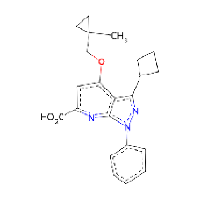 CC1(COc2cc(C(=O)O)nc3c2c(C2CCC2)nn3-c2ccccc2)CC1